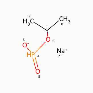 CC(C)O[PH](=O)[O-].[Na+]